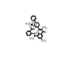 Cc1cc(C(C)Nc2ccccc2C(=O)OC(C)(C)C)c2oc(C3CCN(c4ccccn4)CC3)c(C)c(=O)c2c1